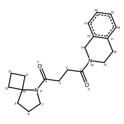 O=C(CCC(=O)N1CCCC12CCC2)N1CCc2ccccc2C1